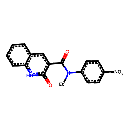 CCN(C(=O)c1cc2ccccc2[nH]c1=O)c1ccc([N+](=O)[O-])cc1